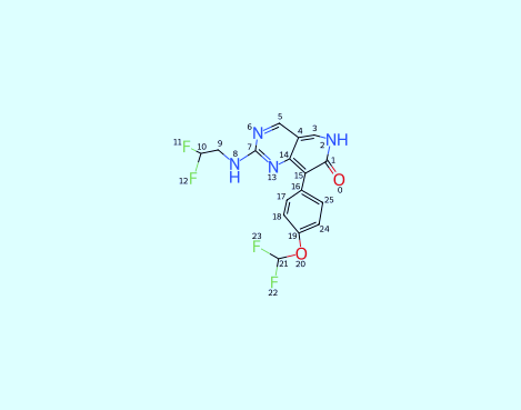 O=c1[nH]cc2cnc(NCC(F)F)nc2c1-c1ccc(OC(F)F)cc1